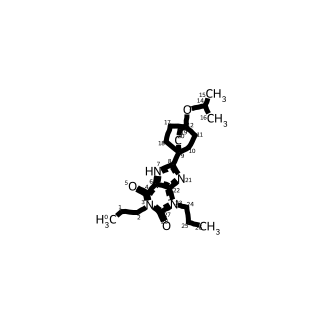 CCCn1c(=O)c2[nH]c(C34CCC(OC(C)C)(CC3)CC4)nc2n(CCC)c1=O